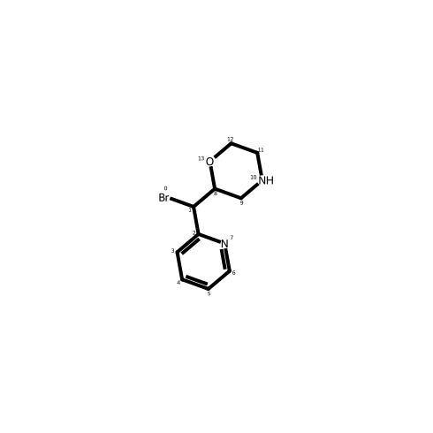 BrC(c1ccccn1)C1CNCCO1